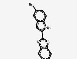 Brc1ccc2[nH]c(-c3nc4ccccc4s3)cc2c1